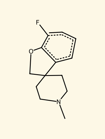 CN1CCC2(CC1)COc1c(F)cccc12